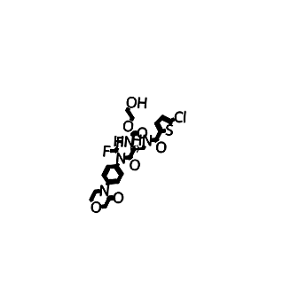 O=C(N[C@@H](CNC(=O)c1ccc(Cl)s1)C(=O)N(c1ccc(N2CCOCC2=O)cc1)C(F)F)OCCO